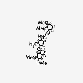 COc1cc2nccc(Oc3ccc(NCCOc4cccc(OC)c4OC)cc3C)c2cc1OC